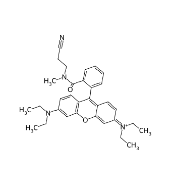 CCN(CC)c1ccc2c(-c3ccccc3C(=O)N(C)CCC#N)c3ccc(=[N+](CC)CC)cc-3oc2c1